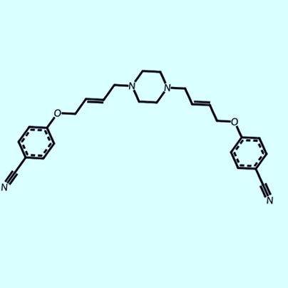 N#Cc1ccc(OC/C=C/CN2CCN(C/C=C/COc3ccc(C#N)cc3)CC2)cc1